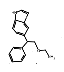 NCOCC(c1ccccc1)c1ccc2[nH]ccc2c1